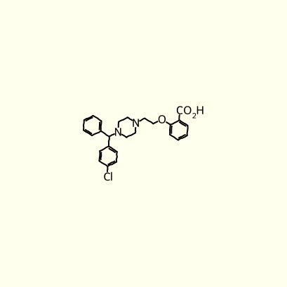 O=C(O)c1ccccc1OCCN1CCN(C(c2ccccc2)c2ccc(Cl)cc2)CC1